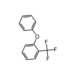 FC(F)(F)c1c[c]ccc1Oc1ccccc1